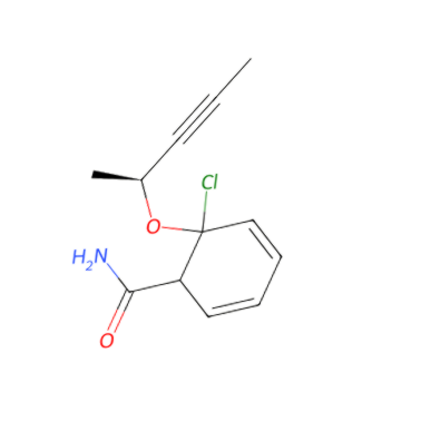 CC#C[C@H](C)OC1(Cl)C=CC=CC1C(N)=O